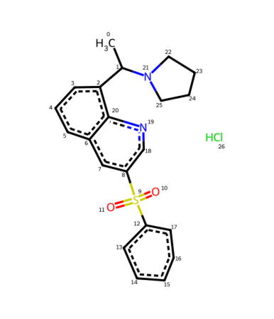 CC(c1cccc2cc(S(=O)(=O)c3ccccc3)cnc12)N1CCCC1.Cl